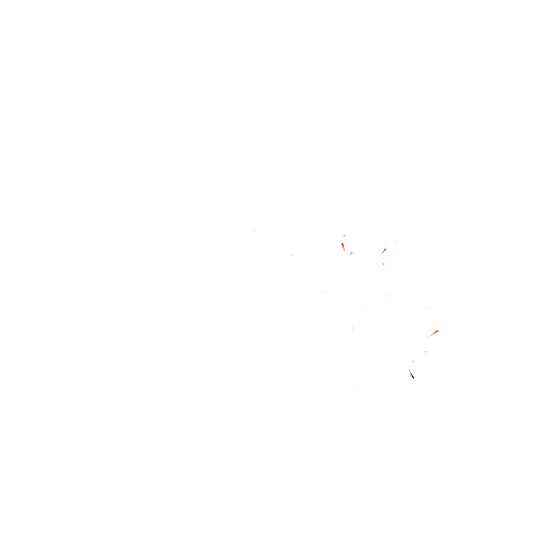 COCOc1ccc(C(=O)CC(=O)C[C@H]2CO[C@@H](C[C@@H]3O[C@H]3[C@@H](C)[C@H](C)O)[C@H](O)[C@@H]2O)cc1